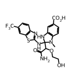 CN1c2ccc(C(=O)O)cc2NC1(Nc1nc2ccc(C(F)(F)F)cc2s1)C(OCCO)C(N)=O